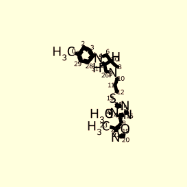 Cc1ccc(N2C[C@@H]3CN(CCCSc4nnc(-c5ocnc5C)n4C)C[C@@H]32)cc1